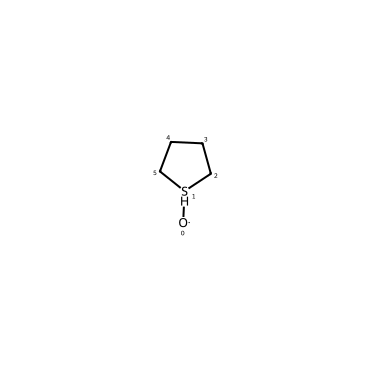 [O][SH]1CCCC1